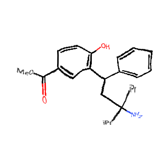 COC(=O)c1ccc(O)c(C(CC(N)(C(C)C)C(C)C)c2ccccc2)c1